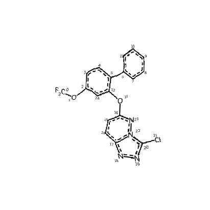 FC(F)(F)Oc1ccc(-c2ccccc2)c(Oc2ccc3nnc(Cl)n3n2)c1